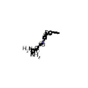 CCCCCC1CCC(C(F)(F)Oc2ccc(/C=C/C(=O)OCCCOC(=O)c3cc(N)cc(N)c3)cc2)CC1